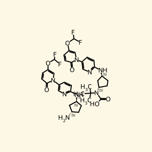 CC(C)(C)N(C(=O)O)[C@H]1CC[C@H](Nc2ccc(-n3cc(OC(F)F)ccc3=O)cn2)C1.N[C@H]1CC[C@H](Nc2ccc(-n3cc(OC(F)F)ccc3=O)cn2)C1